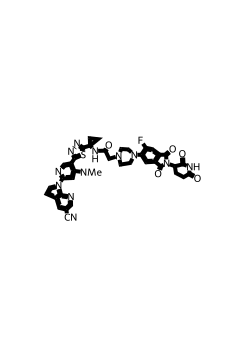 CNc1cc(-n2ccc3cc(C#N)cnc32)ncc1-c1nnc(C2(NC(=O)CN3CCN(c4cc5c(cc4F)C(=O)N(C4CCC(=O)NC4=O)C5=O)CC3)CC2)s1